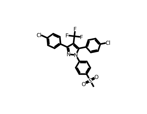 CS(=O)(=O)c1ccc(-n2nc(-c3ccc(Cl)cc3)c(C(F)(F)F)c2-c2ccc(Cl)cc2)cc1